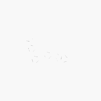 O=C(O)c1cnc2c(c1)nc(-c1ccc(OCc3cc(C(=O)N4CCCC4)ccc3-c3ccc(Cl)cc3)cc1F)n2C1CCCCC1